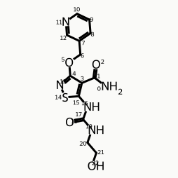 NC(=O)c1c(OCc2cccnc2)nsc1NC(=O)NCCO